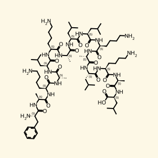 CC(C)C[C@H](NC(=O)[C@H](C)NC(=O)[C@H](CCCCN)NC(=O)[C@H](CC(C)C)NC(=O)[C@H](C)NC(=O)[C@H](CCCCN)NC(=O)[C@H](CC(C)C)NC(=O)[C@H](CC(C)C)NC(=O)[C@H](C)NC(=O)[C@H](CCCCN)NC(=O)[C@H](CC(C)C)NC(=O)[C@H](C)NC(=O)[C@H](CCCCN)NC(=O)[C@H](C)NC(=O)[C@@H](N)Cc1ccccc1)C(=O)O